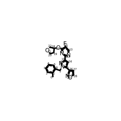 Cc1ccccc1Cn1nc(-c2ncc(F)c(OC3CCOC3)n2)cc1-c1ccon1